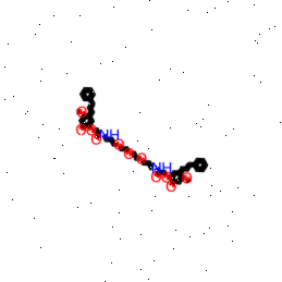 COC1=CC(=O)C(OCC(=O)NCCCOCCOCCOCCCNC(=O)COC2=C/C(=C/C=C/c3ccccc3)C(OC)=CC2=O)=C/C1=C/C=C/c1ccccc1